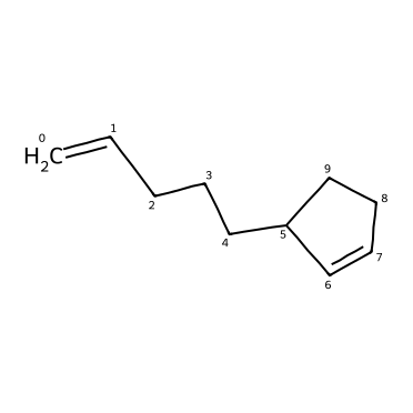 C=CCCCC1C=CCC1